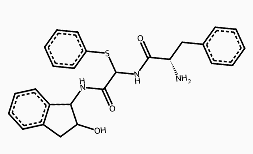 N[C@@H](Cc1ccccc1)C(=O)NC(Sc1ccccc1)C(=O)NC1c2ccccc2CC1O